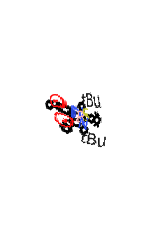 CC(C)(C)c1ccc(N2B3c4sc5cc6c(cc5c4-n4c5ccc(C(C)(C)C)cc5c5c7c(oc8ccccc87)c(c3c54)-c3cc4c(cc32)oc2ccccc24)C(C)(C)CCC6(C)C)cc1